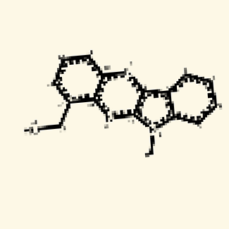 Cn1c2ccccc2c2nc3cccc(CO)c3nc21